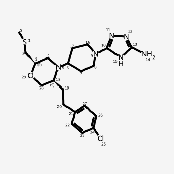 CSC[C@H]1CN(C2CCN(c3nnc(N)[nH]3)CC2)[C@@H](CCc2ccc(Cl)cc2)CO1